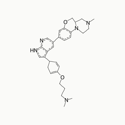 CN(C)CCCOC1=CCC(c2c[nH]c3ncc(-c4ccc5c(c4)OCC4CN(C)CCN54)cc23)C=C1